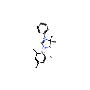 CC1=CC(C)[C@H](N2C=[N+](c3ccccc3)C(C)(C)C2)C(C)=C1